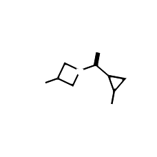 CCC1CC1C(=O)N1CC(C)C1